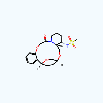 CS(=O)(=O)N[C@H]1CCCN2C(=O)COc3ccccc3[C@@H]3CC[C@@H](CO3)OC[C@@H]12